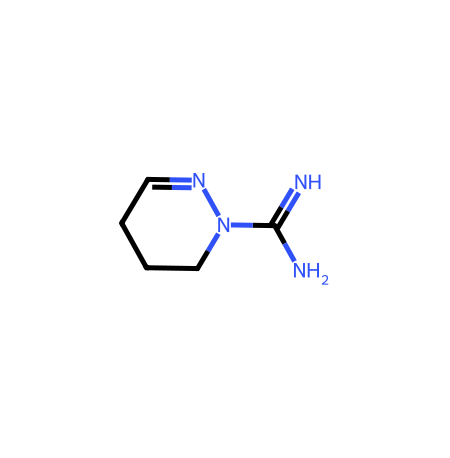 N=C(N)N1CCCC=N1